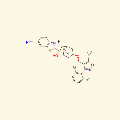 N#Cc1ccc2nc([C@]3(O)C4CC5C[C@](OCc6c(-c7c(Cl)cccc7Cl)noc6C6CC6)(C4)C[C@H]53)sc2c1